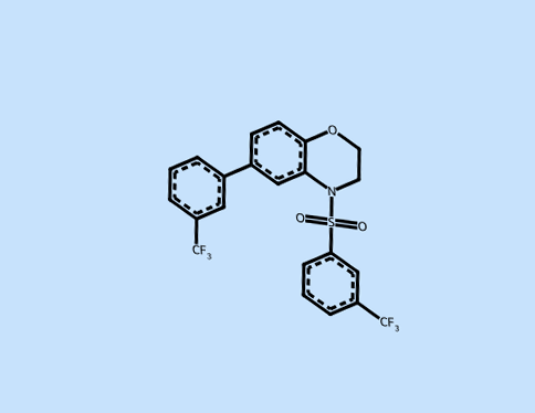 O=S(=O)(c1cccc(C(F)(F)F)c1)N1CCOc2ccc(-c3cccc(C(F)(F)F)c3)cc21